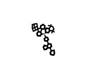 CC1(C)CCC(C)(C)c2cc(N(c3ccc(-c4ccc(-c5ccccc5)c5ccccc45)cc3)c3cccc4c3-c3ccccc3C43C4CC5CC6CC3C64C5)ccc21